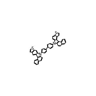 c1ccc2c(c1)ccc1c2c2cc3ccsc3cc2n1-c1ccc(-c2ccc(-n3c4ccc5ccccc5c4c4c5ccsc5ccc43)cc2)cc1